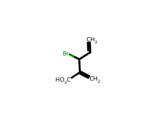 C=CC(Br)C(=C)C(=O)O